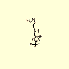 NCCNCc1nc(C(F)(F)F)n[nH]1